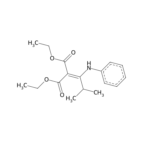 CCOC(=O)C(C(=O)OCC)=C(Nc1ccccc1)C(C)C